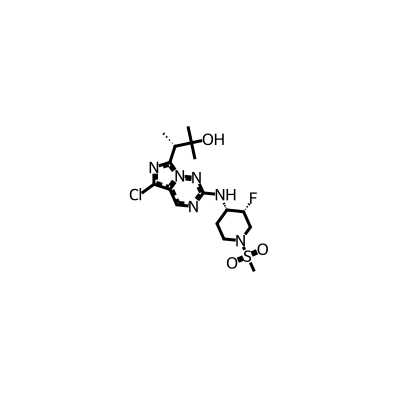 C[C@@H](c1nc(Cl)c2cnc(N[C@H]3CCN(S(C)(=O)=O)C[C@H]3F)nn12)C(C)(C)O